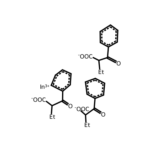 CCC(C(=O)[O-])C(=O)c1ccccc1.CCC(C(=O)[O-])C(=O)c1ccccc1.CCC(C(=O)[O-])C(=O)c1ccccc1.[In+3]